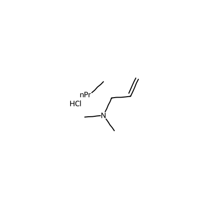 C=CCN(C)C.CCCC.Cl